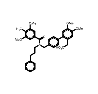 COc1cc(CC(=O)O)c(-c2ccc(CN(CCCc3ccccc3)C(=O)c3cc(OC)c(C)c(OC)c3)cc2)cc1OC